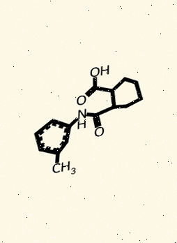 Cc1cccc(NC(=O)C2CCCCC2C(=O)O)c1